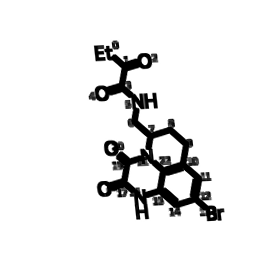 CCC(=O)C(=O)NCC1CCc2cc(Br)cc3[nH]c(=O)c(=O)n1c23